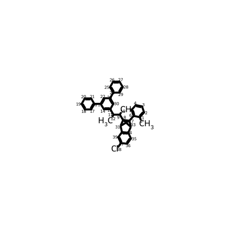 Cc1ccccc1C1=C(C(C)C(C)c2cc(-c3ccccc3)cc(-c3ccccc3)c2)C2CC1c1ccc(Cl)cc12